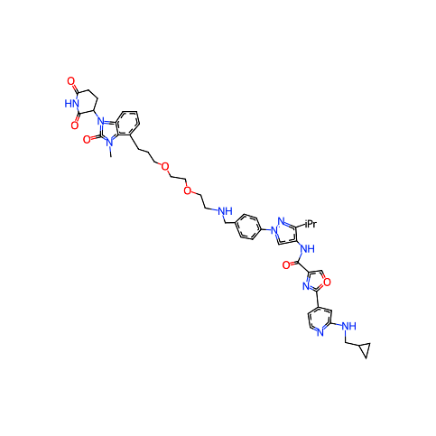 CC(C)c1nn(-c2ccc(CNCCOCCOCCCc3cccc4c3n(C)c(=O)n4C3CCC(=O)NC3=O)cc2)cc1NC(=O)c1coc(-c2ccnc(NCC3CC3)c2)n1